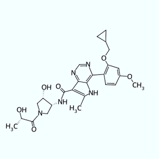 COc1ccc(-c2ncnc3c(C(=O)N[C@@H]4CN(C(=O)[C@H](C)O)C[C@@H]4O)c(C)[nH]c23)c(OCC2CC2)c1